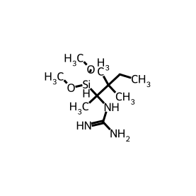 CCC(C)(C)C(C)(NC(=N)N)[SiH](OC)OC